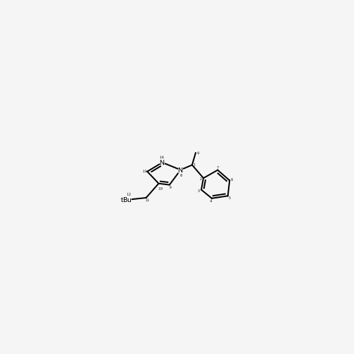 CC(c1ccccc1)n1cc(CC(C)(C)C)cn1